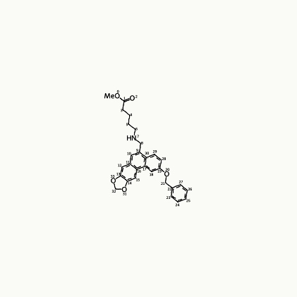 COC(=O)CCCCNCc1cc2cc3c(cc2c2cc(OCc4ccccc4)ccc12)OCO3